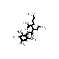 CCCCC(C(=O)O)C(CCC)C(=O)Nc1c(C)cc(C)c(C)c1C